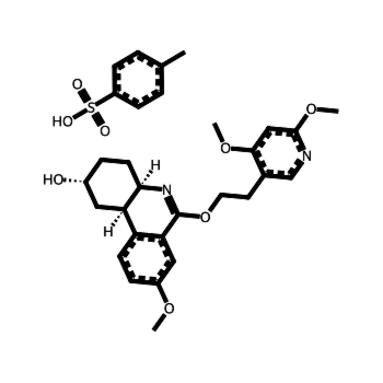 COc1ccc2c(c1)C(OCCc1cnc(OC)cc1OC)=N[C@@H]1CC[C@@H](O)C[C@H]21.Cc1ccc(S(=O)(=O)O)cc1